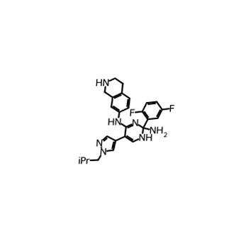 CC(C)Cn1cc(C2=CNC(N)(c3cc(F)ccc3F)N=C2Nc2ccc3c(c2)CNCC3)cn1